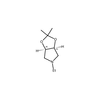 CCN1C[C@@H]2OC(C)(C)O[C@@H]2C1